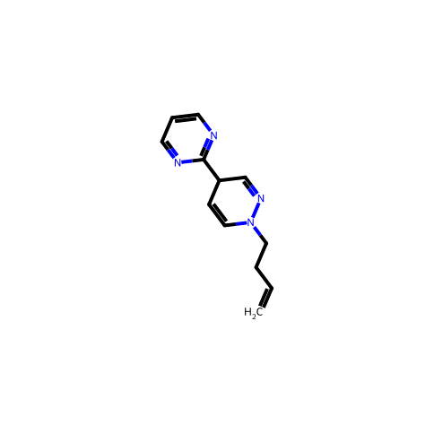 C=CCCN1C=CC(c2ncccn2)C=N1